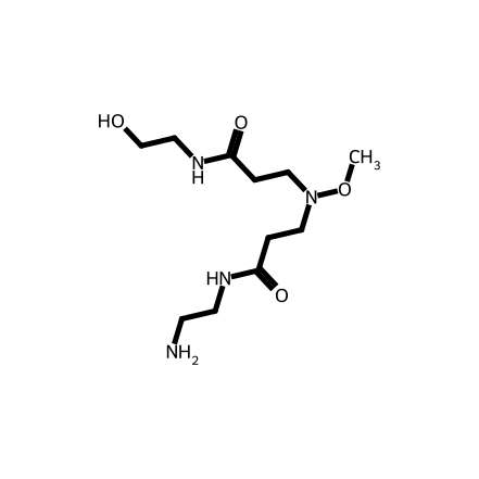 CON(CCC(=O)NCCN)CCC(=O)NCCO